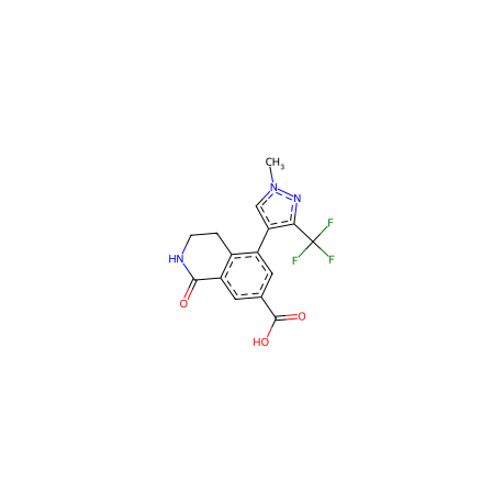 Cn1cc(-c2cc(C(=O)O)cc3c2CCNC3=O)c(C(F)(F)F)n1